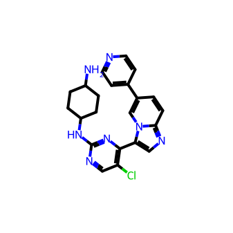 NC1CCC(Nc2ncc(Cl)c(-c3cnc4ccc(-c5ccncc5)cn34)n2)CC1